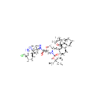 CC(C)(C)OC(=O)N1C[C@@H](C(=O)NC(C)(C)c2n[nH]c3c(Cl)cccc23)OC[C@H]1CO[Si](c1ccccc1)(c1ccccc1)C(C)(C)C